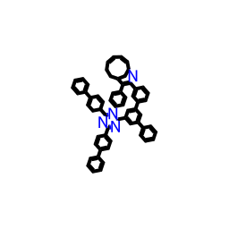 C1=CC(c2nc(-c3ccc(-c4ccccc4)cc3)nc(-c3cc(-c4ccccc4)cc(-c4cccc(C5=C(c6ccccc6)C6CC/C=C\C=C/C(=N5)C6)c4)c3)n2)CC=C1c1ccccc1